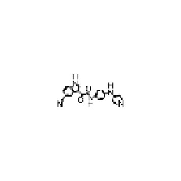 N#Cc1ccc2[nH]cc(C(=O)C(=O)Nc3ccc(Nc4ccncc4)cc3)c2c1